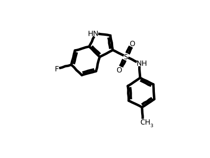 Cc1ccc(NS(=O)(=O)c2c[nH]c3cc(F)ccc23)cc1